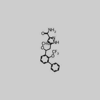 NC(=O)c1cc(CC(OC=O)c2cccc(-c3ccccc3)c2OC(F)(F)F)[nH]n1